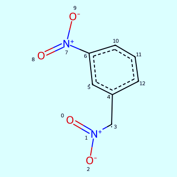 O=[N+]([O-])[CH]c1[c]c([N+](=O)[O-])ccc1